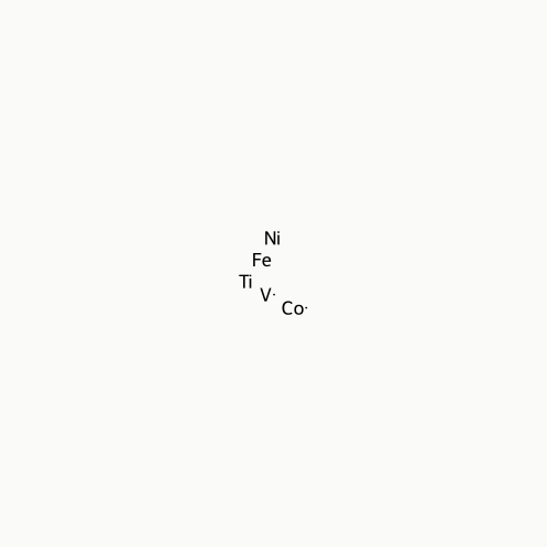 [Co].[Fe].[Ni].[Ti].[V]